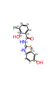 O=C(Nc1nc2ccc(O)cc2s1)c1cccc(F)c1O